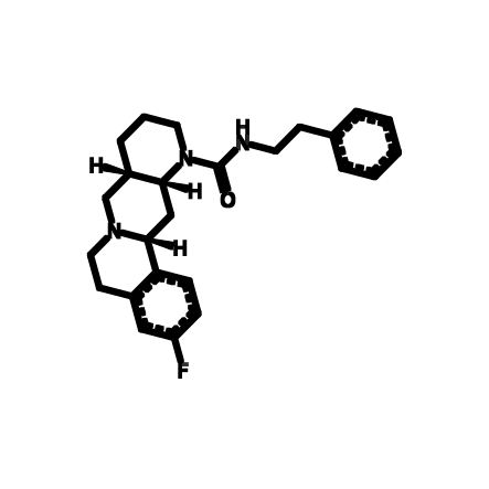 O=C(NCCc1ccccc1)N1CCC[C@H]2CN3CCc4cc(F)ccc4[C@H]3C[C@H]21